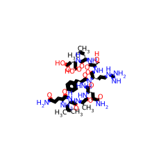 CC(C)C[C@H](NC(=O)[C@H](CO)NC(=O)[C@H](CCCNC(=N)N)NC(=O)[C@H](Cc1ccccc1)NC(=O)[C@H](CCC(N)=O)NC(=O)[C@H](C)NC(=O)[C@H](CC(C)C)NC(=O)[C@@H](N)CCC(N)=O)C(=O)N[C@@H](CC(=O)O)C(=O)O